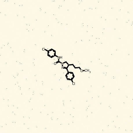 COCCCC1CN(C(=O)Nc2ccc(Cl)cc2)N=C1c1ccc(Cl)cc1